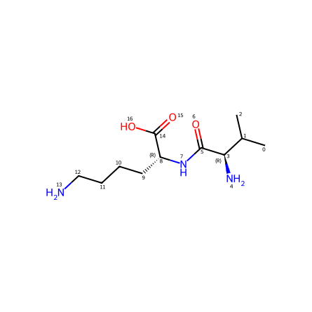 CC(C)[C@@H](N)C(=O)N[C@H](CCCCN)C(=O)O